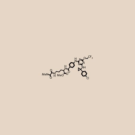 CNC(=O)C(=O)NCCCC(NC(=O)c1ccc(Nc2nc(NC3(c4ccc(Cl)cc4)CC3)nc(OCC(F)(F)F)n2)cc1)C(=O)OC